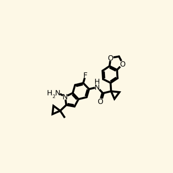 CC1(c2cc3cc(NC(=O)C4(c5ccc6c(c5)OCO6)CC4)c(F)cc3n2N)CC1